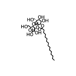 CCCCCCCCCCCCCCCC(=O)O[C@H]1[C@H](O[C@@H]([C@H](O)[C@@H](O)CO)[C@H](O)CO)O[C@H](CO)[C@H](O)[C@@H]1O